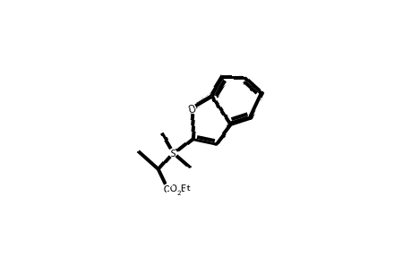 CCOC(=O)C(C)S(C)(C)c1cc2ccccc2o1